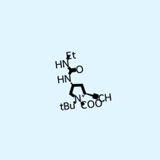 C#C[C@@H]1C[C@@H](NC(=O)NCC)C[N+]1(C(=O)[O-])C(C)(C)C